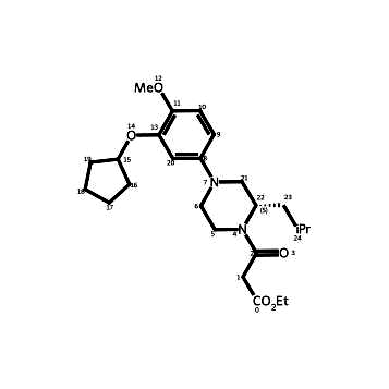 CCOC(=O)CC(=O)N1CCN(c2ccc(OC)c(OC3CCCC3)c2)C[C@@H]1CC(C)C